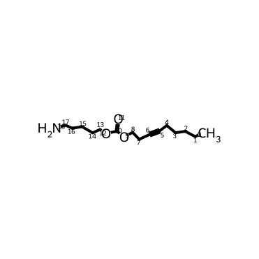 CCCCCC#CCCOC(=O)OCCCCCN